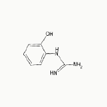 N=C(N)Nc1ccccc1O